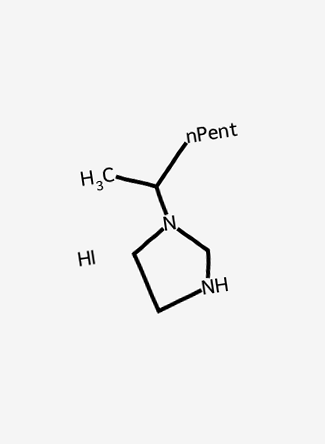 CCCCCC(C)N1CCNC1.I